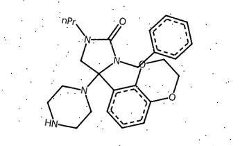 CCCN1CC(c2cccc3c2OCCO3)(N2CCNCC2)N(Cc2ccccc2)C1=O